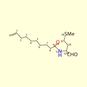 C=CCCCCCCCC(=O)NC(C=O)CCSC